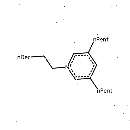 CCCCCCCCCCCC[n+]1cc(CCCCC)cc(CCCCC)c1